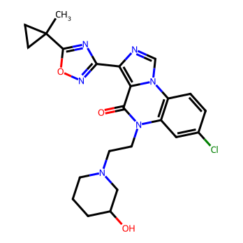 CC1(c2nc(-c3ncn4c3c(=O)n(CCN3CCCC(O)C3)c3cc(Cl)ccc34)no2)CC1